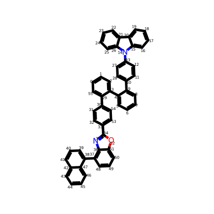 c1ccc(-c2ccccc2-c2ccc(-n3c4ccccc4c4ccccc43)cc2)c(-c2ccc(-c3nc4c(-c5cccc6ccccc56)cccc4o3)cc2)c1